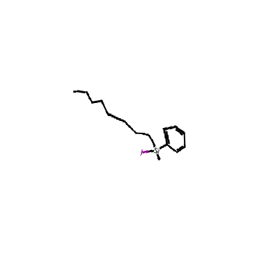 CCCCCCCC[Si](C)(I)c1ccccc1